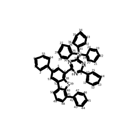 c1ccc(-c2cc(-c3nc(-c4ccccc4)nc([Si](c4ccccc4)(c4ccccc4)c4ccccc4)n3)c3sc4c(-c5ccccc5)cccc4c3c2)cc1